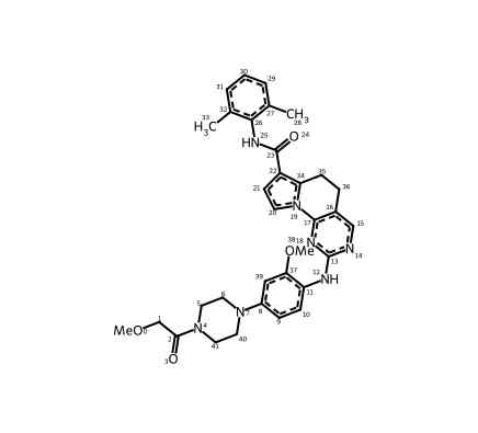 COCC(=O)N1CCN(c2ccc(Nc3ncc4c(n3)-n3ccc(C(=O)Nc5c(C)cccc5C)c3CC4)c(OC)c2)CC1